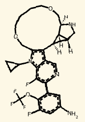 Nc1cc(F)c(OC(F)(F)F)c(-c2ncc3c4c(n(C5CC5)c3c2F)COCCCCOC[C@H]2NC[C@@H]3[C@@H]4[C@@H]32)c1